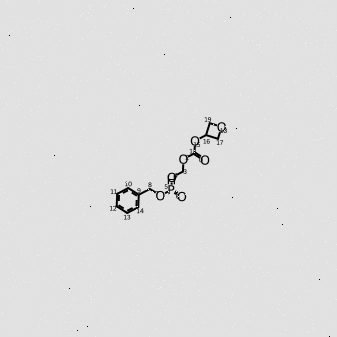 O=C(OCO[PH](=O)OCc1ccccc1)OC1COC1